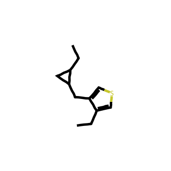 CCc1cscc1CC1CC1CC